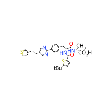 C[C@@H](NC(=O)[C@H](Cc1ccc(-c2ncc(/C=C/c3ccsc3)cn2)cc1)NC(=O)c1ccc(C(C)(C)C)s1)C(=O)O